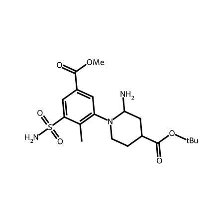 COC(=O)c1cc(N2CCC(C(=O)OC(C)(C)C)CC2N)c(C)c(S(N)(=O)=O)c1